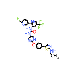 CCNc1ncc(-c2ccc(Oc3ncc(NC(=O)Nc4cc(C(F)(F)F)cnc4-c4ccc(CF)nc4)cn3)cc2)s1